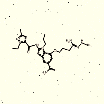 CCCn1c(NC(=O)c2cc(C)nn2CC)nc2cc(C(N)=O)cc(OCCC/C(N)=N/NN)c21